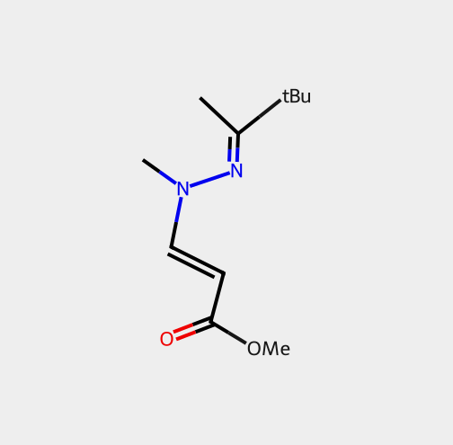 COC(=O)C=CN(C)N=C(C)C(C)(C)C